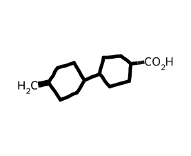 C=C1CCC(C2CCC(C(=O)O)CC2)CC1